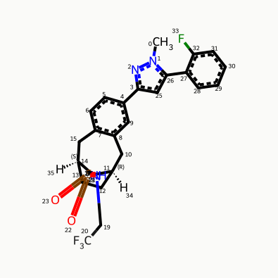 Cn1nc(-c2ccc3c(c2)C[C@H]2CC[C@@H](C3)[C@]23CN(CC(F)(F)F)S(=O)(=O)N3)cc1-c1ccccc1F